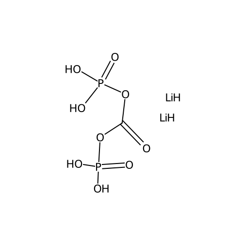 O=C(OP(=O)(O)O)OP(=O)(O)O.[LiH].[LiH]